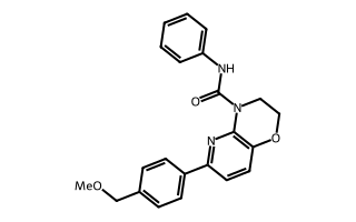 COCc1ccc(-c2ccc3c(n2)N(C(=O)Nc2ccccc2)CCO3)cc1